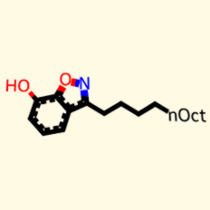 CCCCCCCCCCCCc1noc2c(O)cccc12